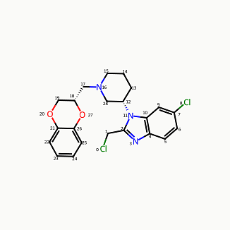 ClCc1nc2ccc(Cl)cc2n1[C@H]1CCCN(C[C@H]2COc3ccccc3O2)C1